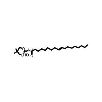 CCCCCCCCC=CCCCCCCCC(=O)N[P]1(O)OCC(C)(C)CO1